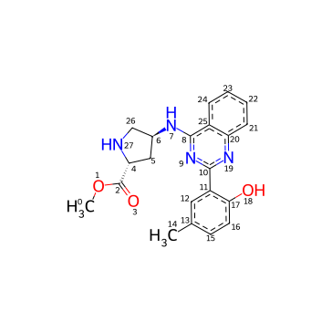 COC(=O)[C@H]1C[C@H](Nc2nc(-c3cc(C)ccc3O)nc3ccccc23)CN1